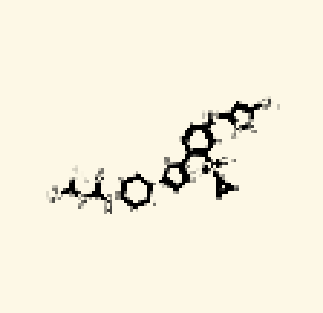 Cc1cc(Nc2ccc(-c3ccc([C@H]4CC[C@@H](NC(=O)OC(C)C)CC4)s3)c(S(=O)(=O)C3CC3)c2)n[nH]1